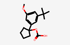 COc1cc(C(C)(C)C)cc(C2(OC(=O)O)CCCC2)c1